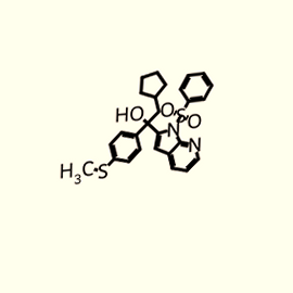 CSc1ccc(C(O)(CC2CCCC2)c2cc3cccnc3n2S(=O)(=O)c2ccccc2)cc1